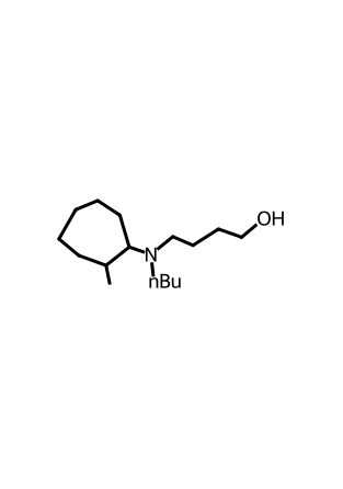 CCCCN(CCCCO)C1CCCCCC1C